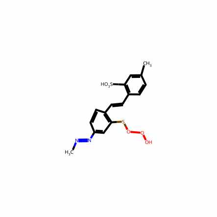 CN=Nc1ccc(C=Cc2ccc(C)cc2S(=O)(=O)O)c(SOOO)c1